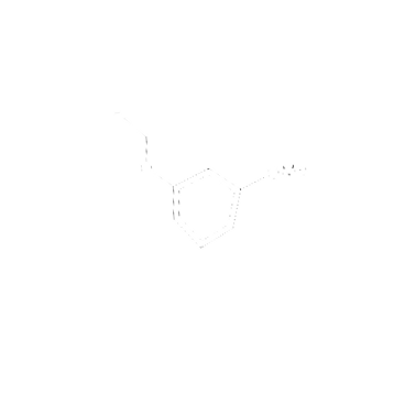 COc1cc[c]c(OCF)c1